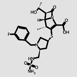 C[C@@H](O)[C@H]1C(=O)N2C(C(=O)O)=C(S[C@H]3C[C@@H](CNS(N)(=O)=O)N(Cc4cccc(F)c4)C3)[C@H](C)[C@H]12